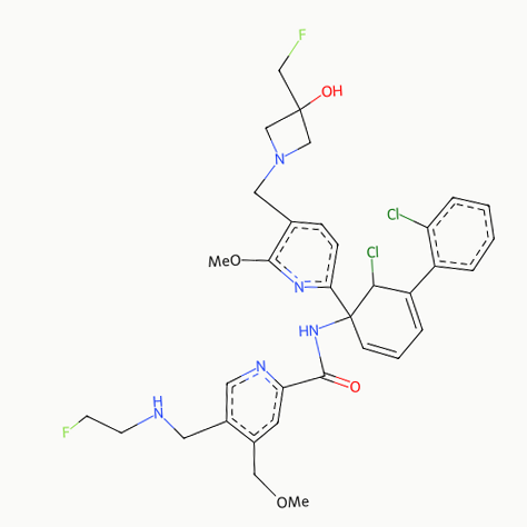 COCc1cc(C(=O)NC2(c3ccc(CN4CC(O)(CF)C4)c(OC)n3)C=CC=C(c3ccccc3Cl)C2Cl)ncc1CNCCF